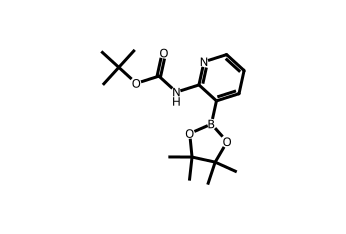 CC(C)(C)OC(=O)Nc1ncccc1B1OC(C)(C)C(C)(C)O1